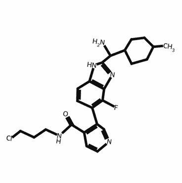 CC1CCC(C(N)c2nc3c(F)c(-c4cnccc4C(=O)NCCCCl)ccc3[nH]2)CC1